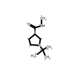 CNC(=O)[C@@H]1CCN(C(C)(C)C)C1